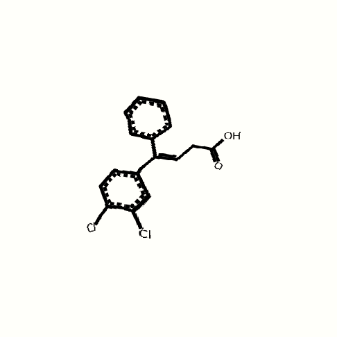 O=C(O)C/C=C(\c1ccccc1)c1ccc(Cl)c(Cl)c1